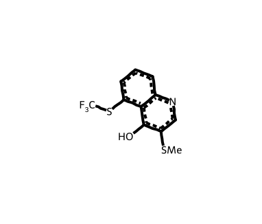 CSc1cnc2cccc(SC(F)(F)F)c2c1O